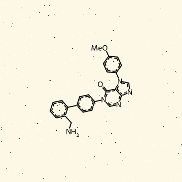 COc1ccc(-n2cnc3ncn(-c4ccc(-c5ccccc5CN)cc4)c(=O)c32)cc1